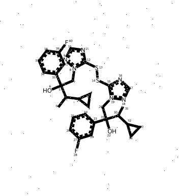 CC(C1CC1)C(O)(Cn1ncnc1SSc1ncnn1CC(O)(c1cccc(F)c1)C(C)C1CC1)c1cccc(F)c1